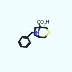 O=C(O)C12CCC(CSC1)N2Cc1ccccc1